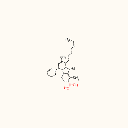 C/C=C\CCCCC1C(CCCC)=CC(C2C=CCCC2)C2C3CCC(B(O)O)C(C)=C3C(CC)C12